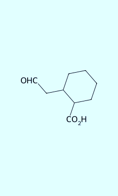 O=CCC1CCCCC1C(=O)O